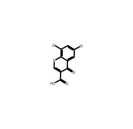 O=C(O)c1coc2c(Cl)cc(Cl)cc2c1=O